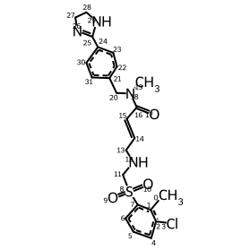 Cc1c(Cl)cccc1S(=O)(=O)CNC/C=C/C(=O)N(C)Cc1ccc(C2=NCCN2)cc1